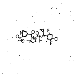 C[C@@H]1CC[C@H](C(=O)N[C@@H](c2cc(F)c(Cl)cc2F)C2CC2)N1C(=O)c1ccnc(S(C)(=O)=O)c1